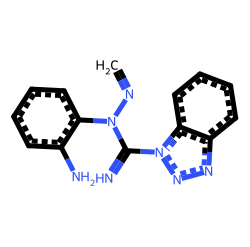 C=NN(C(=N)n1nnc2ccccc21)c1ccccc1N